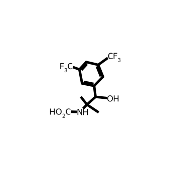 CC(C)(NC(=O)O)C(O)c1cc(C(F)(F)F)cc(C(F)(F)F)c1